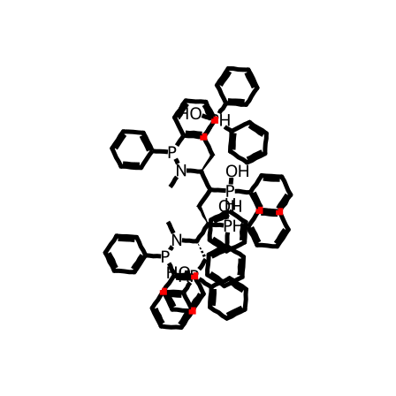 CN([C@@H](CC[PH](O)(c1ccccc1)c1ccccc1)C(C[C@H]([C@H](C[PH](O)(c1ccccc1)c1ccccc1)N(C)P(c1ccccc1)c1ccccc1)[PH](O)(c1ccccc1)c1ccccc1)[PH](O)(c1ccccc1)c1ccccc1)P(c1ccccc1)c1ccccc1